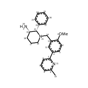 COc1ccc(-c2cccc(C)n2)cc1CN1CCC[C@H](N)[C@@H]1c1ccccc1